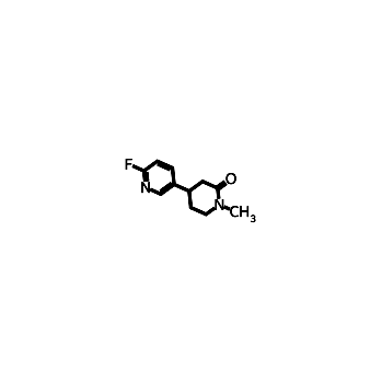 CN1CCC(c2ccc(F)nc2)CC1=O